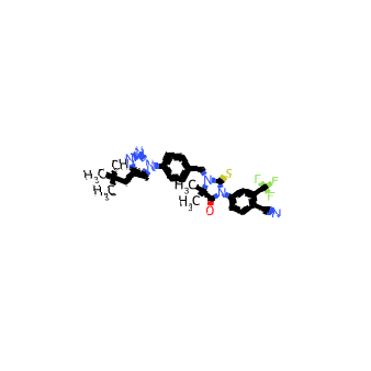 CC(C)(C)Cc1cn(-c2ccc(CN3C(=S)N(c4ccc(C#N)c(C(F)(F)F)c4)C(=O)C3(C)C)cc2)nn1